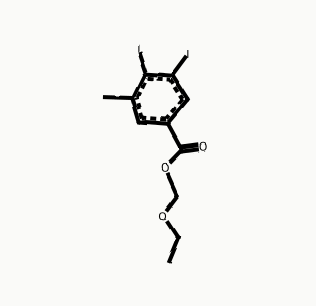 CCOCOC(=O)c1cc(C)c(I)c(I)c1